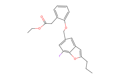 CCCc1cc2cc(COc3ccccc3CC(=O)OCC)cc(I)c2o1